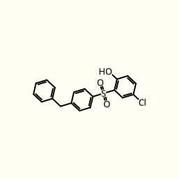 O=S(=O)(c1ccc(Cc2ccccc2)cc1)c1cc(Cl)ccc1O